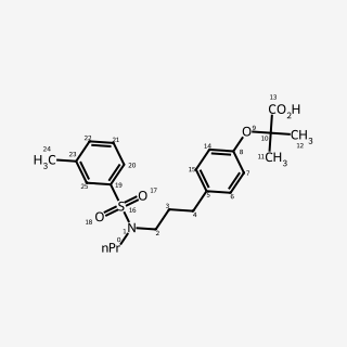 CCCN(CCCc1ccc(OC(C)(C)C(=O)O)cc1)S(=O)(=O)c1cccc(C)c1